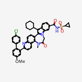 COc1ccc(-c2ccc(Cl)cc2)c(-c2ccc3c4c(ccc3n2)-c2c(C3CCCCC3)c3ccc(C(=O)NS(=O)(=O)C5CC5)cc3n2CC(=O)N4C)c1